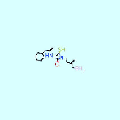 BCC(=C)CCN1C(=O)[C@@H](NC(=C)CC2=CCCC=C2)C1S